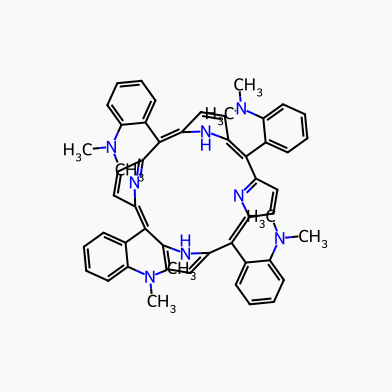 CN(C)c1ccccc1-c1c2nc(c(-c3ccccc3N(C)C)c3ccc([nH]3)c(-c3ccccc3N(C)C)c3nc(c(-c4ccccc4N(C)C)c4ccc1[nH]4)C=C3)C=C2